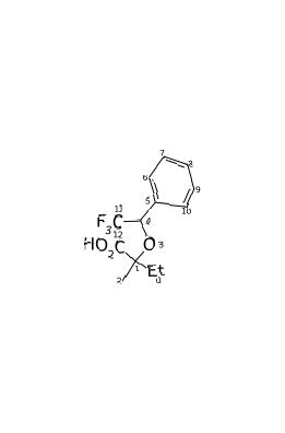 CCC(C)(OC(c1ccccc1)C(F)(F)F)C(=O)O